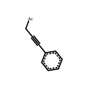 CC(=O)CC#Cc1ccccc1